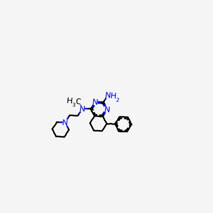 CN(CCN1CCCCC1)c1nc(N)nc2c1CCCC2c1ccccc1